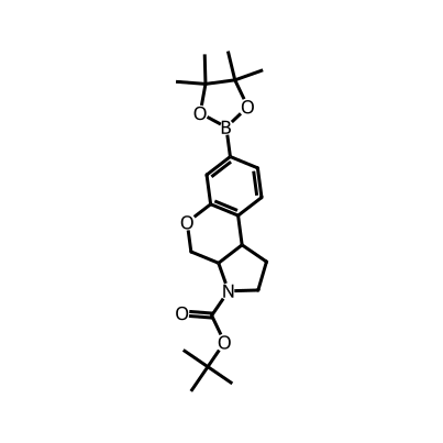 CC(C)(C)OC(=O)N1CCC2c3ccc(B4OC(C)(C)C(C)(C)O4)cc3OCC21